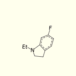 CCN1CCc2ccc(F)cc21